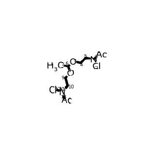 CC(=O)N(Cl)CCOC(C)OCCN(Cl)C(C)=O